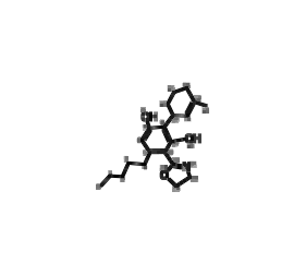 CCCCCc1cc(O)c(C2C=C(C)CCC2)c(O)c1C1=NCCO1